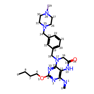 C=Nc1nc(OCCCC)nc2c1NC(=O)CN2Cc1cccc(CN2CCN(I)CC2)c1